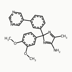 COc1ccc(C2(c3cccc(-c4cncnc4)c3)N=C(C)C(N)=N2)cc1OC